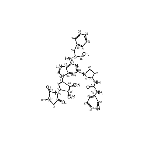 CN1CC(=O)N(C2CC(n3cnc4c(NC(CO)Cc5ccccc5)nc(N5CCC(NC(=O)Nc6cccnc6)C5)nc43)C(O)C2O)C1=O